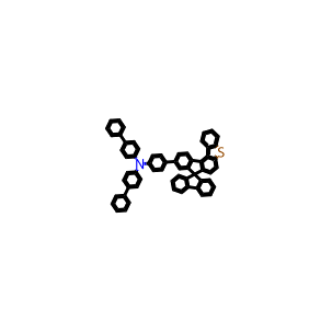 c1ccc(-c2ccc(N(c3ccc(-c4ccccc4)cc3)c3ccc(-c4ccc5c(c4)C4(c6ccccc6-c6ccccc64)c4ccc6sc7ccccc7c6c4-5)cc3)cc2)cc1